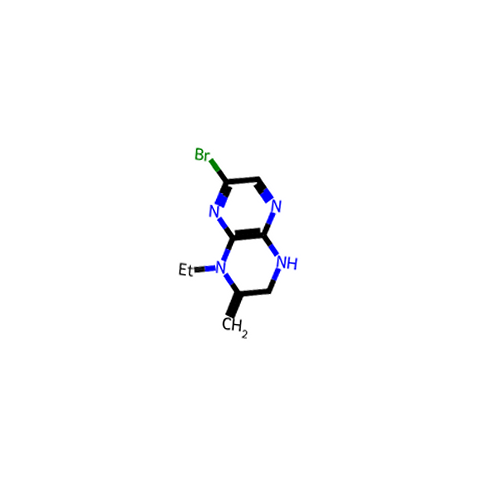 C=C1CNc2ncc(Br)nc2N1CC